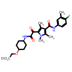 CCOC(=O)CO[C@H]1CC[C@@H](NC(=O)C(=O)c2c(C)c(C(=O)Nc3ccc(F)c(C)c3)c(C)n2C)CC1